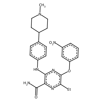 CCc1nc(C(N)=O)c(Nc2ccc(C3CCN(C)CC3)cc2)nc1Oc1cccc([N+](=O)[O-])c1